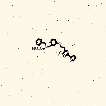 Cc1oc(-c2cccs2)nc1CCOc1cccc(CN(CC(=O)O)Cc2ccccc2)c1